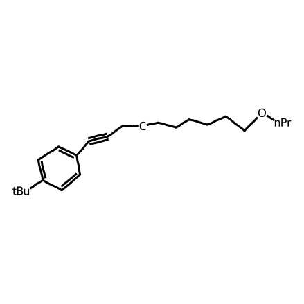 CCCOCCCCCCCCC#Cc1ccc(C(C)(C)C)cc1